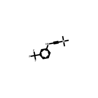 C[Si](C)(C)C#CNc1cccc(C(F)(F)F)c1